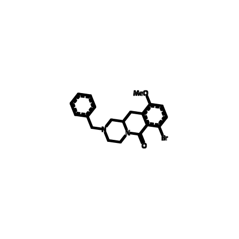 COc1ccc(Br)c2c1CC1CN(Cc3ccccc3)CCN1C2=O